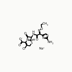 CCON=C(C(=O)NC1C(=O)N2C(C(=O)[O-])=C(Cl)CS[C@@H]12)c1csc(N)n1.[Na+]